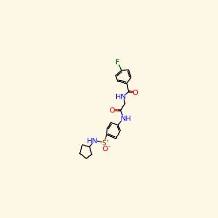 O=C(CNC(=O)c1ccc(F)cc1)Nc1ccc([S+]([O-])NC2CCCC2)cc1